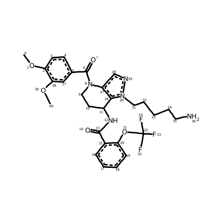 COc1ccc(C(=O)N2CCC(NC(=O)c3ccccc3OC(F)(F)F)c3c2cnn3CCCCCN)cc1OC